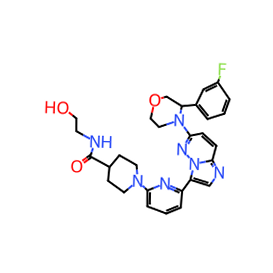 O=C(NCCO)C1CCN(c2cccc(-c3cnc4ccc(N5CCOCC5c5cccc(F)c5)nn34)n2)CC1